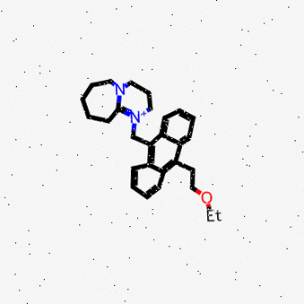 CCOCCc1c2ccccc2c(C[N+]2=C3CCCCCN3CCC2)c2ccccc12